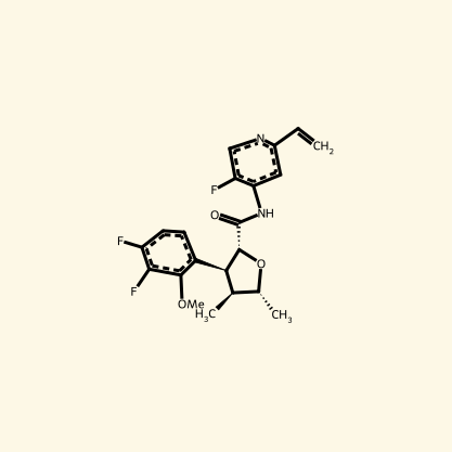 C=Cc1cc(NC(=O)[C@@H]2O[C@H](C)[C@@H](C)[C@H]2c2ccc(F)c(F)c2OC)c(F)cn1